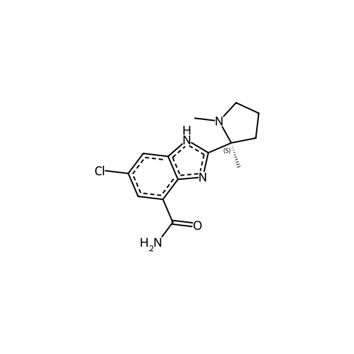 CN1CCC[C@@]1(C)c1nc2c(C(N)=O)cc(Cl)cc2[nH]1